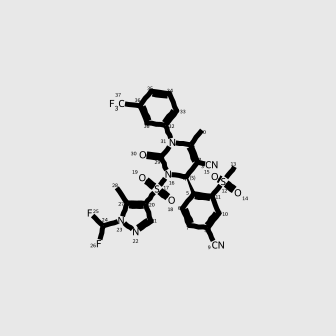 CC1=C(C#N)[C@@H](c2ccc(C#N)cc2S(C)(=O)=O)N(S(=O)(=O)c2cnn(C(F)F)c2C)C(=O)N1c1cccc(C(F)(F)F)c1